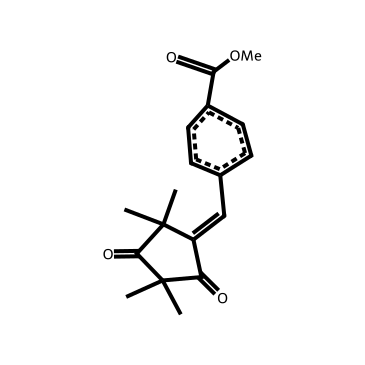 COC(=O)c1ccc(C=C2C(=O)C(C)(C)C(=O)C2(C)C)cc1